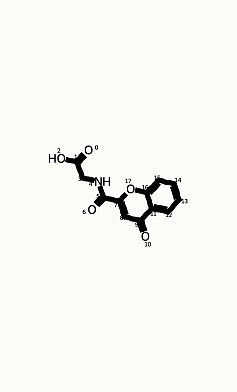 O=C(O)CNC(=O)c1cc(=O)c2ccccc2o1